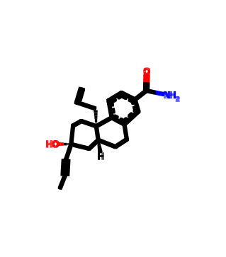 C=CC[C@@]12CC[C@](O)(C#CC)C[C@H]1CCc1cc(C(N)=O)ccc12